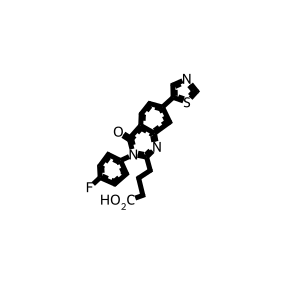 O=C(O)CCCc1nc2cc(-c3cncs3)ccc2c(=O)n1-c1ccc(F)cc1